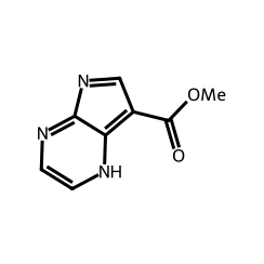 COC(=O)c1cnc2ncc[nH]c1-2